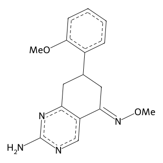 CO/N=C1\CC(c2ccccc2OC)Cc2nc(N)ncc21